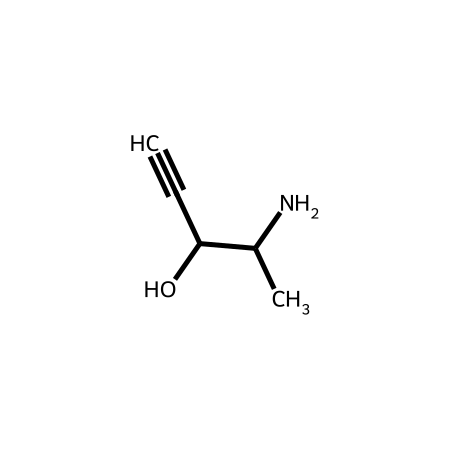 C#CC(O)C(C)N